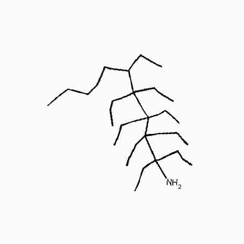 CCCCC(CC)C(CC)(CC)C(CC)(CC)C(CC)(CC)C(N)(CC)CC